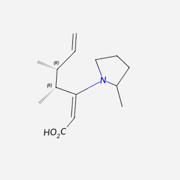 C=C[C@@H](C)[C@@H](C)C(=CC(=O)O)N1CCCC1C